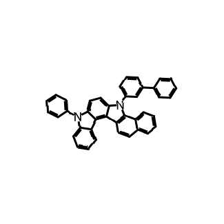 c1ccc(-c2cccc(-n3c4ccc5c(c6ccccc6n5-c5ccccc5)c4c4ccc5ccccc5c43)c2)cc1